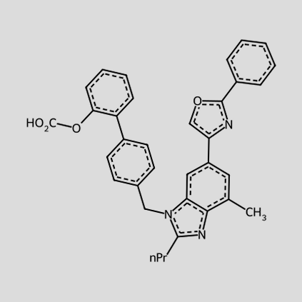 CCCc1nc2c(C)cc(-c3coc(-c4ccccc4)n3)cc2n1Cc1ccc(-c2ccccc2OC(=O)O)cc1